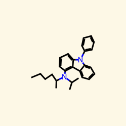 CCCCC(C)N(c1cccc2c1c1ccccc1n2-c1ccccc1)C(C)C